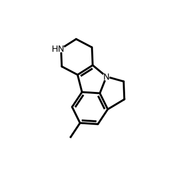 Cc1cc2c3c(c1)c1c(n3CC2)CCNC1